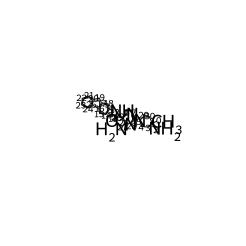 CC1(N)CCN(c2ncc(C(=O)Nc3ccc4c(c3)Cc3ccccc3-4)c(N)n2)CC1